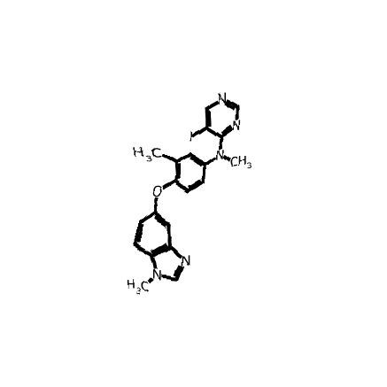 Cc1cc(N(C)c2ncncc2I)ccc1Oc1ccc2c(c1)ncn2C